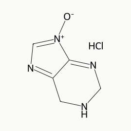 Cl.[O-][N+]1=CN=C2CNCN=C21